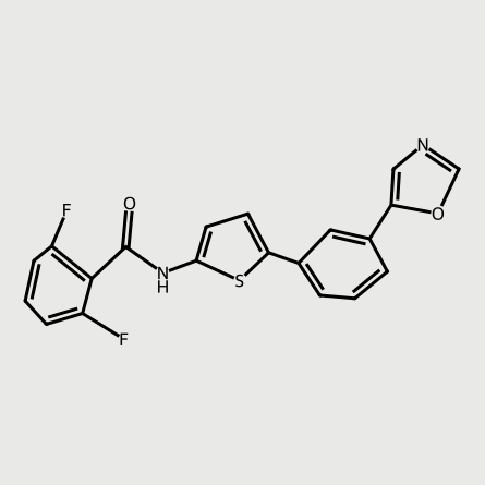 O=C(Nc1ccc(-c2cccc(-c3cnco3)c2)s1)c1c(F)cccc1F